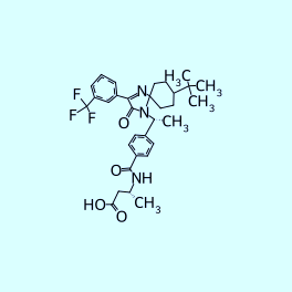 C[C@H](CC(=O)O)NC(=O)c1ccc([C@@H](C)N2C(=O)C(c3cccc(C(F)(F)F)c3)=NC23CCC(C(C)(C)C)CC3)cc1